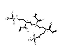 C=CC(=O)N(CCOP(=O)(O)O)CCN(CCN(CCOP(=O)(O)O)C(=O)C=C)C(=O)C=C